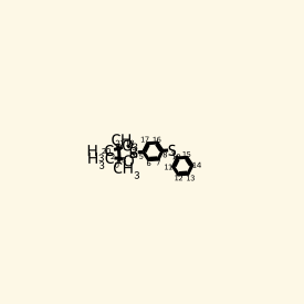 CC1(C)OB(c2ccc(Sc3ccccc3)cc2)OC1(C)C